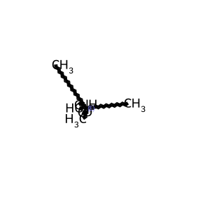 CCCCCCCCCCCCC/C=C/[C@@H](OC(=O)CC)[C@H](CO)NC(=O)CCCCCCCCCCCCCCCCC